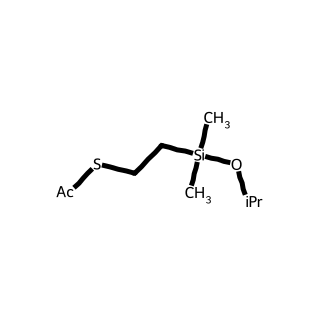 CC(=O)SCC[Si](C)(C)OC(C)C